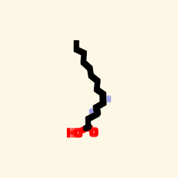 CCCCCCCC/C=C\C=C\CC(=O)O